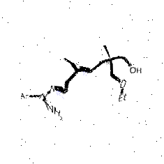 CCOC[C@@](C)(CO)C/C=C(C)/C=N/N(N)C(C)=O